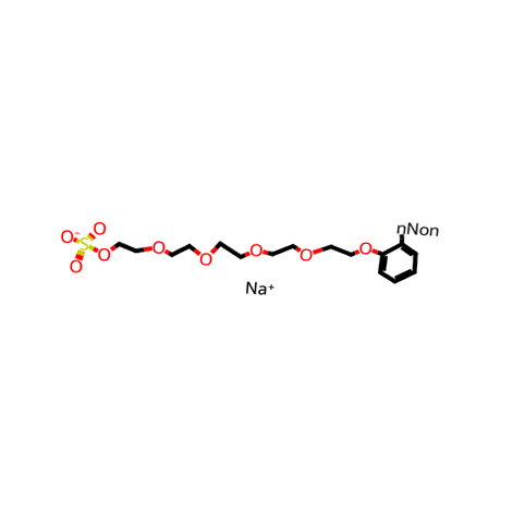 CCCCCCCCCc1ccccc1OCCOCCOCCOCCOCCOS(=O)(=O)[O-].[Na+]